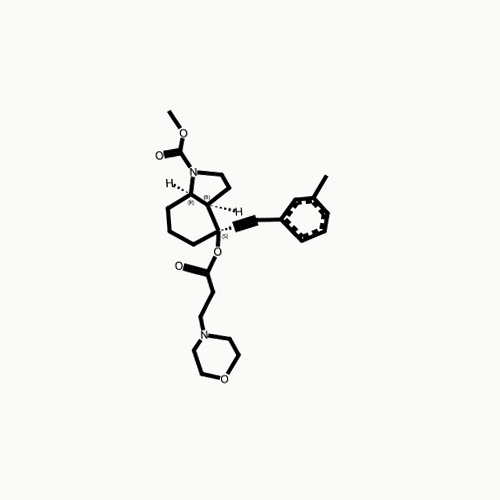 COC(=O)N1CC[C@@H]2[C@H]1CCC[C@]2(C#Cc1cccc(C)c1)OC(=O)CCN1CCOCC1